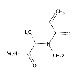 C=CC(=O)N(C=O)C(C)C(=O)NC